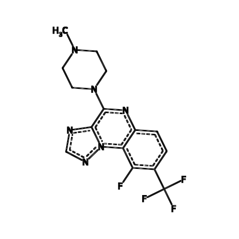 CN1CCN(c2nc3ccc(C(F)(F)F)c(F)c3n3ncnc23)CC1